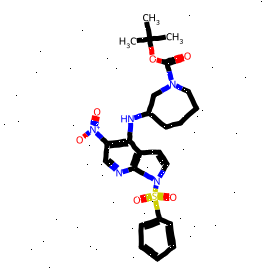 CC(C)(C)OC(=O)N1CCCCC(Nc2c([N+](=O)[O-])cnc3c2ccn3S(=O)(=O)c2ccccc2)C1